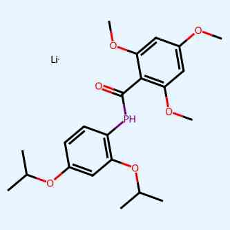 COc1cc(OC)c(C(=O)Pc2ccc(OC(C)C)cc2OC(C)C)c(OC)c1.[Li]